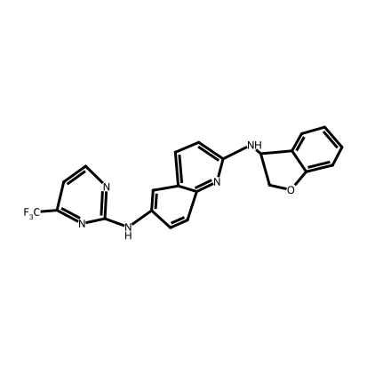 FC(F)(F)c1ccnc(Nc2ccc3nc(NC4COc5ccccc54)ccc3c2)n1